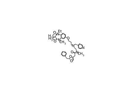 CCN1C(=O)C(C)(C)C(=O)N(C)c2cc(OCCCN(CCN(C)C(=O)CC3=COC(Cc4ccccc4)O3)Cc3ccncc3)ccc21